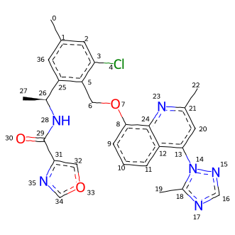 Cc1cc(Cl)c(COc2cccc3c(-n4ncnc4C)cc(C)nc23)c([C@H](C)NC(=O)c2cocn2)c1